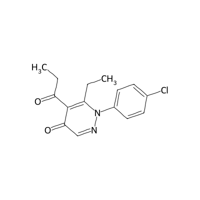 CCC(=O)c1c(CC)n(-c2ccc(Cl)cc2)ncc1=O